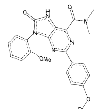 CCOc1ccc(-c2nc(C(=O)N(C)C)c3[nH]c(=O)n(-c4ccccc4OC)c3n2)cc1